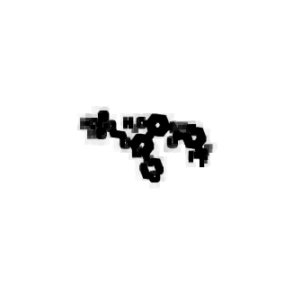 Cc1ccc(NC(=O)c2cc(C(F)(F)F)ccn2)cc1-c1cc(OCCOP(=O)(O)O)nc(N2CCOCC2)c1